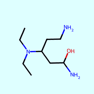 CCN(CC)C(CCN)CC(N)O